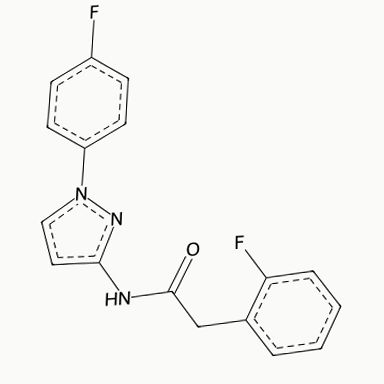 O=C(Cc1ccccc1F)Nc1ccn(-c2ccc(F)cc2)n1